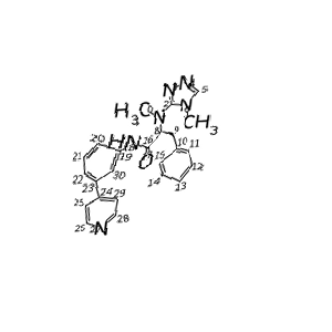 CN(c1nncn1C)[C@@H](Cc1ccccc1)C(=O)Nc1cccc(-c2ccncc2)c1